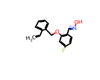 C=Cc1ccccc1COc1cc(F)ccc1/C=N/O